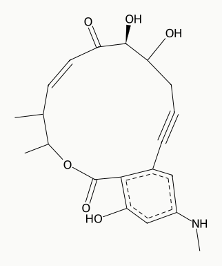 CNc1cc(O)c2c(c1)C#CCC(O)[C@H](O)C(=O)/C=C\C(C)C(C)OC2=O